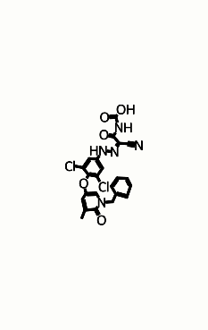 Cc1cc(Oc2c(Cl)cc(NN=C(C#N)C(=O)NC(=O)O)cc2Cl)cn(Cc2ccccc2)c1=O